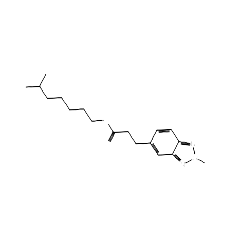 CC(C)CCCCCOC(=O)CCc1ccc2nn(O)nc2c1